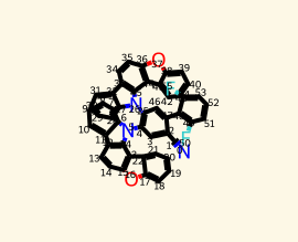 N#Cc1cc(-n2c3ccccc3c3ccc4oc5ccccc5c4c32)c(-n2c3ccccc3c3ccc4oc5ccccc5c4c32)cc1-c1c(F)cccc1F